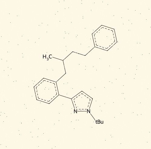 CC(CCc1ccccc1)Cc1ccccc1-c1ccn(C(C)(C)C)n1